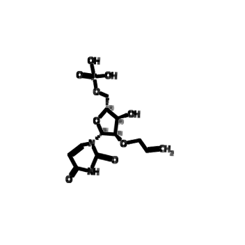 C=CCO[C@@H]1[C@H](O)[C@@H](COP(=O)(O)O)O[C@H]1n1ccc(=O)[nH]c1=O